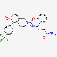 COc1ccc2c(c1-c1ccc(C(F)(F)F)cc1)CCN(C(=O)N[C@@H](CCC(N)=O)c1ccccc1)C2